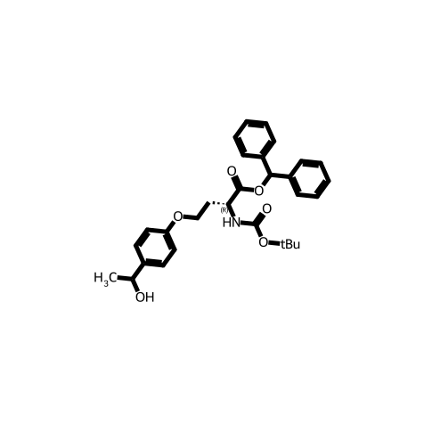 CC(O)c1ccc(OCC[C@@H](NC(=O)OC(C)(C)C)C(=O)OC(c2ccccc2)c2ccccc2)cc1